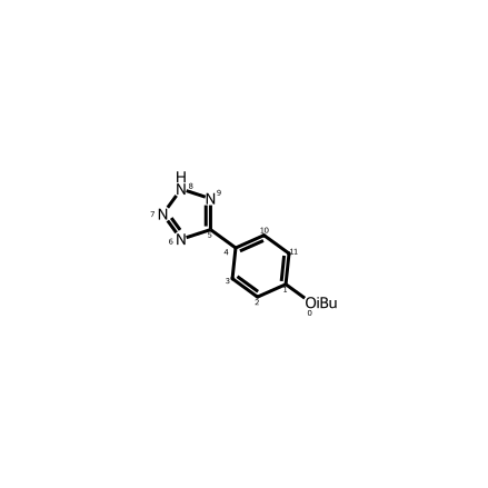 CC(C)COc1ccc(-c2nn[nH]n2)cc1